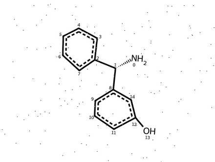 N[C@@H](c1ccccc1)c1cccc(O)c1